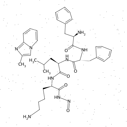 CC(C)C[C@@H](NC(=O)[C@@H](Cc1ccccc1)NC(=O)[C@H](N)Cc1ccccc1)C(=O)N[C@H](CCCCN)C(=O)NN=O.Cc1cn2ccccc2n1